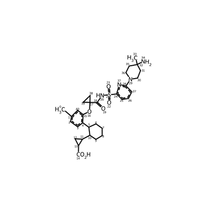 Cc1ccc(C2CCCCC2C2CC2C(=O)O)c(OC2(C(=O)NS(=O)(=O)c3cccc(N4CCC(C)(N)CC4)n3)CC2)c1